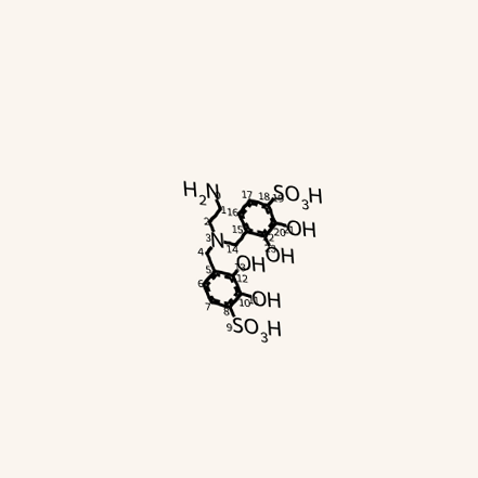 NCCN(Cc1ccc(S(=O)(=O)O)c(O)c1O)Cc1ccc(S(=O)(=O)O)c(O)c1O